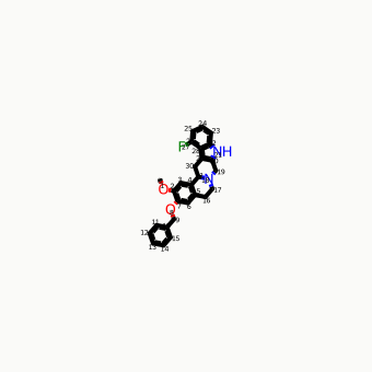 COc1cc2c(cc1OCc1ccccc1)CCN1Cc3[nH]c4cccc(F)c4c3CC21